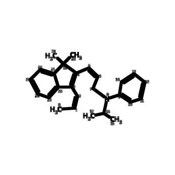 C/C=C\C1=C(/C=C\CN(c2ccccc2)C(C)C)C(C)(C)c2ccccc21